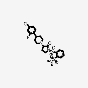 CN(C)S(=O)(=O)c1ccccc1S(=O)(=O)N1CCC(N2CCC(c3ccc(Cl)cc3F)CC2)C1=O